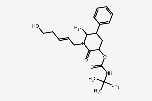 CC1C(c2ccccc2)CC(OC(=O)NC(C)(C)C)C(=O)N1C/C=C/CCO